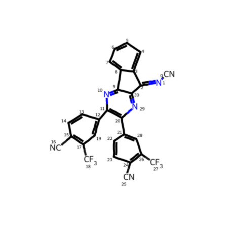 N#C/N=C1\c2ccccc2-c2nc(-c3ccc(C#N)c(C(F)(F)F)c3)c(-c3ccc(C#N)c(C(F)(F)F)c3)nc21